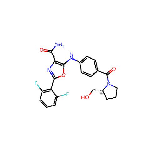 NC(=O)c1nc(-c2c(F)cccc2F)oc1Nc1ccc(C(=O)N2CCC[C@@H]2CO)cc1